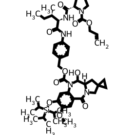 C=CCOC(=O)N1CCC[C@H]1C(=O)N[C@H](C(=O)Nc1ccc(COC(=O)N2c3cc(O[Si](C(C)C)(C(C)C)C(C)C)c(OC)cc3C(=O)N3CC4(CC4)C[C@H]3C2O)cc1)[C@@H](C)CC